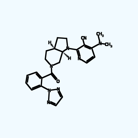 CN(C)c1ccnc(N2CC[C@@H]3CCN(C(=O)c4ccccc4-n4nccn4)C[C@@H]32)c1C#N